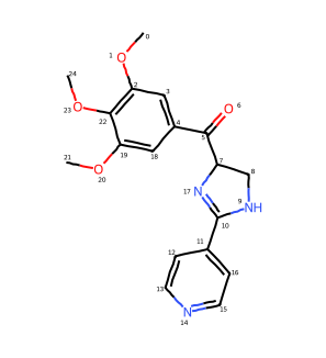 COc1cc(C(=O)C2CNC(c3ccncc3)=N2)cc(OC)c1OC